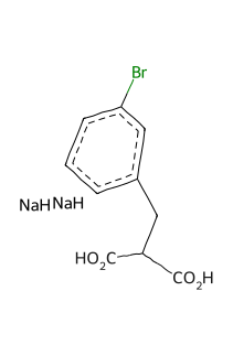 O=C(O)C(Cc1cccc(Br)c1)C(=O)O.[NaH].[NaH]